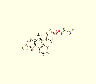 CC/C(=C(/c1cc[c]cc1)c1ccc(OCCN(C)C)cc1)c1ccc(Br)cc1